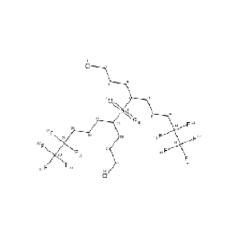 O=S(=O)(C(CCCCl)CCCC(F)(F)C(F)(F)F)C(CCCCl)CCCC(F)(F)C(F)(F)F